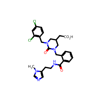 Cn1cncc1CCNC(=O)c1ccccc1CN1CC(CC(=O)O)CN(Cc2ccc(Cl)cc2Cl)C1=O